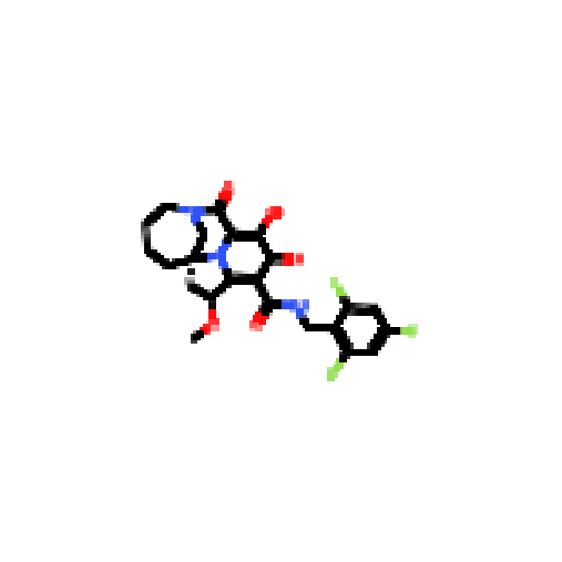 CO[C@H]1C[C@]23CCCCN(C2)C(=O)c2c(O)c(=O)c(C(=O)NCc4c(F)cc(F)cc4F)c1n23